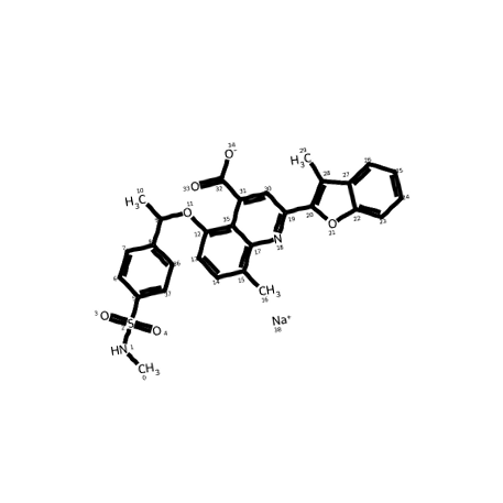 CNS(=O)(=O)c1ccc(C(C)Oc2ccc(C)c3nc(-c4oc5ccccc5c4C)cc(C(=O)[O-])c23)cc1.[Na+]